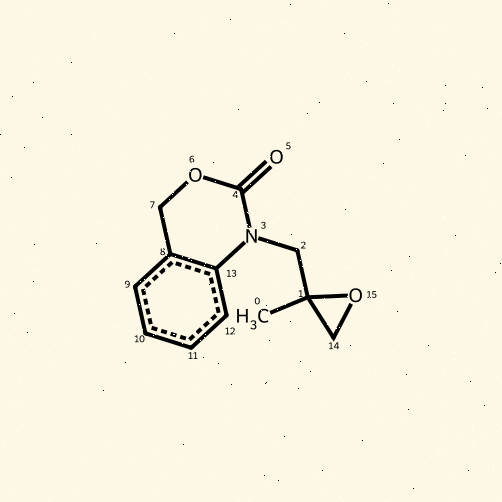 CC1(CN2C(=O)OCc3ccccc32)CO1